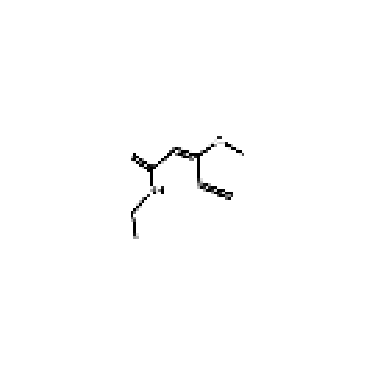 C=C/C(=C\C(=C)NCC)OC